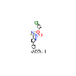 Cc1nsc(-c2ccc(-c3ccc(C4(C(=O)O)CC4)cc3)cc2)c1NC(=O)OCc1ccc(Cl)cc1